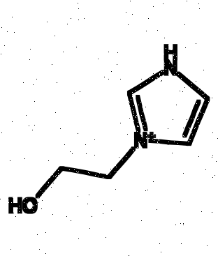 OCC[n+]1cc[nH]c1